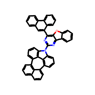 c1cc2c3c(cccc3c1)-c1cccc3c1c1c-2cccc1n3-c1nc(-c2cc3ccccc3c3ccccc23)c2oc3ccccc3c2n1